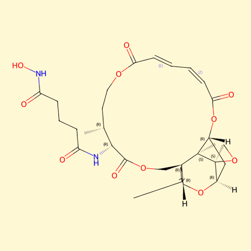 CC1=C[C@H]2O[C@@H]3C[C@H]4OC(=O)/C=C\C=C\C(=O)OCC[C@@H](C)[C@@H](NC(=O)CCCC(=O)NO)C(=O)OC[C@@]2(CC1)[C@]4(C)[C@]31CO1